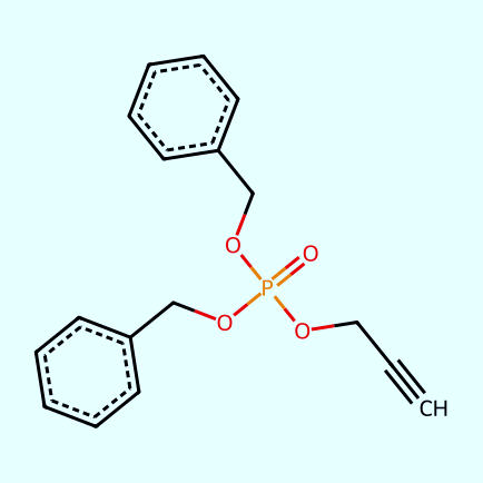 C#CCOP(=O)(OCc1ccccc1)OCc1ccccc1